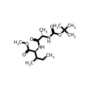 CCC(C)[C@H](NC(=O)[C@H](C)NC(=O)OC(C)(C)C)C(=O)OC